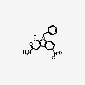 Cc1c(CC(N)=O)c2cc([N+](=O)[O-])ccc2n1Cc1ccccc1